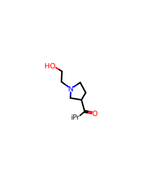 CC(C)C(=O)C1CCN(CCO)C1